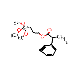 CCO[Si](CCCOC(=O)C(C)c1ccccc1)(OCC)OCC